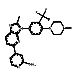 Cc1nc2ccc(-c3ccnc(N)c3)nc2n1-c1ccc(N2CCN(C)CC2)c(C(F)(F)F)c1